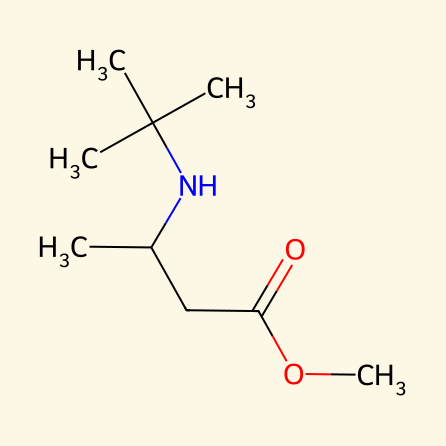 COC(=O)CC(C)NC(C)(C)C